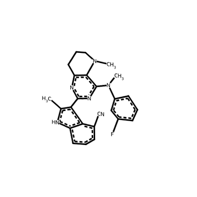 Cc1[nH]c2cccc(C#N)c2c1-c1nc2c(c(N(C)c3cccc(F)c3)n1)N(C)CCC2